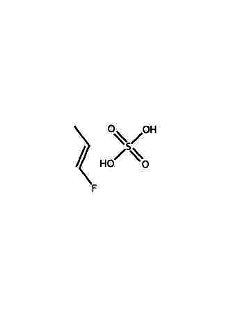 CC=CF.O=S(=O)(O)O